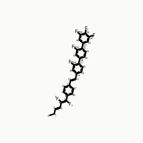 CC/C=C/C(F)=C(\F)c1ccc(/C=C/c2ccc(-c3ccc(-c4cc(F)c(F)c(F)c4)c(F)c3)c(F)c2)cc1